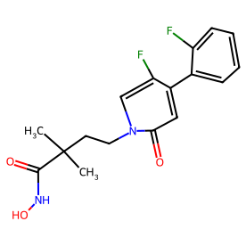 CC(C)(CCn1cc(F)c(-c2ccccc2F)cc1=O)C(=O)NO